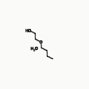 CCCCOCCO.O